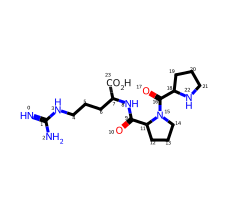 N=C(N)NCCCC(NC(=O)C1CCCN1C(=O)C1CCCN1)C(=O)O